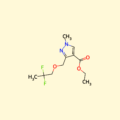 CCOC(=O)c1cn(C)nc1COCC(C)(F)F